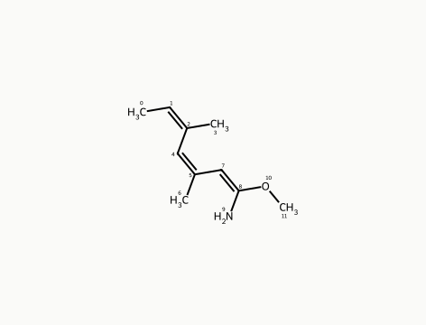 C\C=C(C)/C=C(C)\C=C(/N)OC